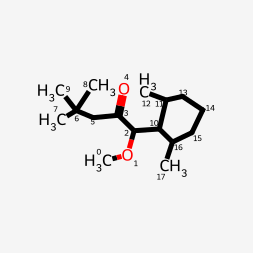 COC(C(=O)CC(C)(C)C)C1C(C)CCCC1C